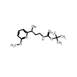 COc1cccc(C(O)CCNC(=O)OC(C)(C)C)n1